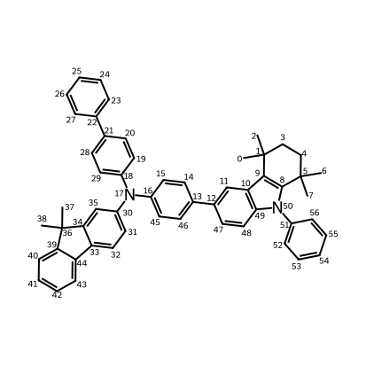 CC1(C)CCC(C)(C)c2c1c1cc(-c3ccc(N(c4ccc(-c5ccccc5)cc4)c4ccc5c(c4)C(C)(C)c4ccccc4-5)cc3)ccc1n2-c1ccccc1